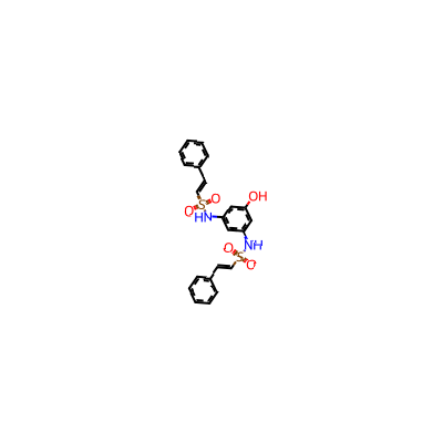 O=S(=O)(C=Cc1ccccc1)Nc1cc(O)cc(NS(=O)(=O)C=Cc2ccccc2)c1